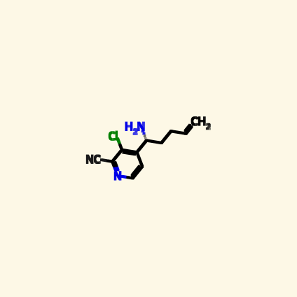 C=CCC[C@@H](N)c1ccnc(C#N)c1Cl